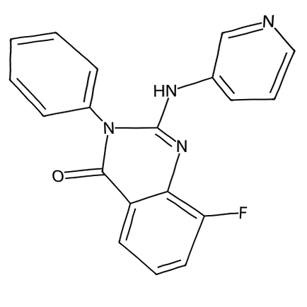 O=c1c2cccc(F)c2nc(Nc2cccnc2)n1-c1ccccc1